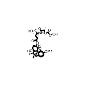 COc1ccc2c3c1O[C@H]1C(OC(=O)CC[C@H](NC(=O)[C@H](C)OC(=O)OC(C)(C)C)C(=O)O)=CC[C@@]4(O)[C@@H](C2)N(C)CC[C@]314